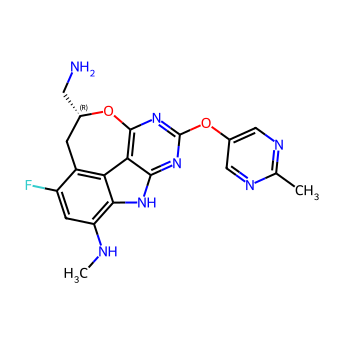 CNc1cc(F)c2c3c1[nH]c1nc(Oc4cnc(C)nc4)nc(c13)O[C@@H](CN)C2